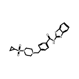 O=C(Nc1nc2ccccc2s1)c1ccc(CN2CCN(S(=O)(=O)C3CC3)CC2)cc1